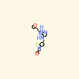 Fc1cc(CNc2ccnc3[nH]c(CCc4ccco4)nc23)ccc1N1CC2(COC2)C1